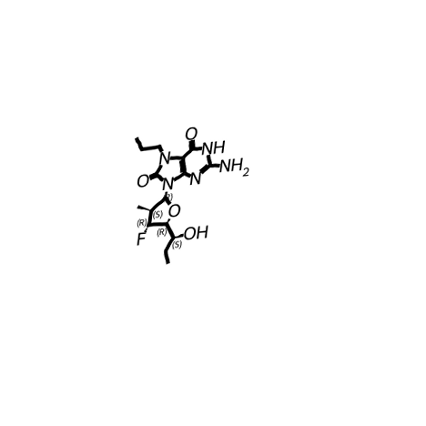 CCCn1c(=O)n([C@@H]2O[C@H]([C@@H](O)CC)[C@H](F)[C@H]2C)c2nc(N)[nH]c(=O)c21